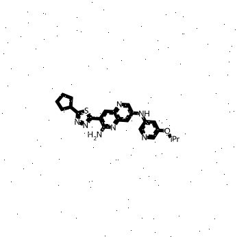 CC(C)Oc1cncc(Nc2cnc3cc(-c4nnc(C5CCCC5)s4)c(N)nc3c2)c1